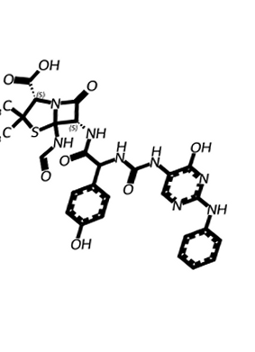 CC1(C)SC2(NC=O)[C@@H](NC(=O)C(NC(=O)Nc3cnc(Nc4ccccc4)nc3O)c3ccc(O)cc3)C(=O)N2[C@H]1C(=O)O